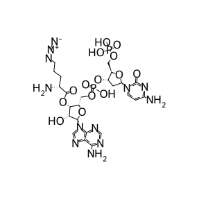 [N-]=[N+]=NCCC[C@@H](N)C(=O)O[C@H]1[C@@H](O)[C@H](n2cnc3c(N)ncnc32)O[C@H]1COP(=O)(O)O[C@H]1C[C@H](n2ccc(N)nc2=O)O[C@@H]1COP(=O)(O)O